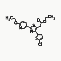 CCOC(=O)Cc1sc(-c2ccc(OCC)nc2)nc1-c1ccc(Cl)s1